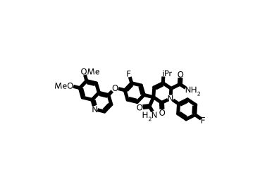 COc1cc2nccc(Oc3ccc(C4(C(N)=O)C=C(C(C)C)C(C(N)=O)N(c5ccc(F)cc5)C4=O)cc3F)c2cc1OC